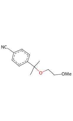 COCCOC(C)(C)c1ccc(C#N)cc1